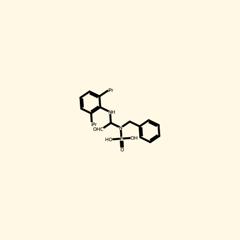 CC(C)c1cccc(C(C)C)c1NC(C=O)N(Cc1ccccc1)P(=O)(O)O